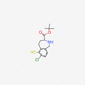 CC(C)(C)OC(=O)C1CCc2c(ccc(Cl)c2S)CN1